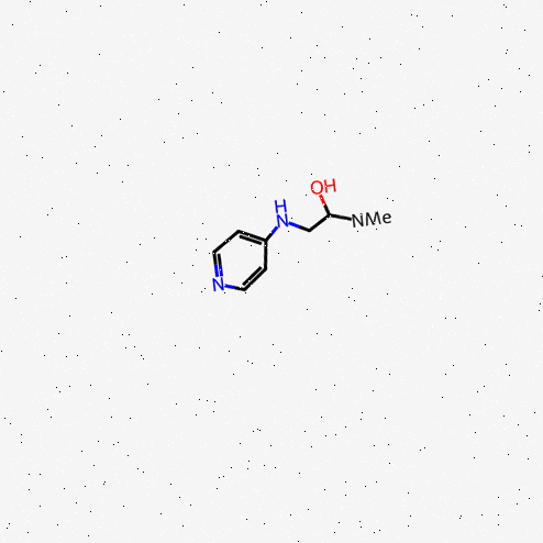 CNC(O)CNc1ccncc1